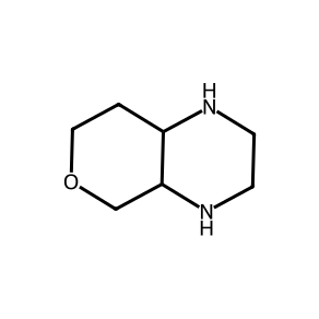 C1CNC2COCCC2N1